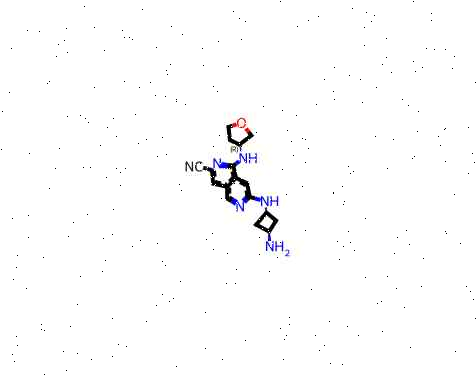 N#Cc1cc2cnc(N[C@H]3C[C@H](N)C3)cc2c(N[C@@H]2CCOC2)n1